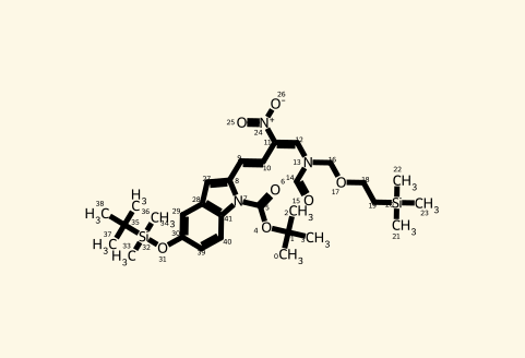 CC(C)(C)OC(=O)n1c(/C=C/C(=C\N(C=O)COCC[Si](C)(C)C)[N+](=O)[O-])cc2cc(O[Si](C)(C)C(C)(C)C)ccc21